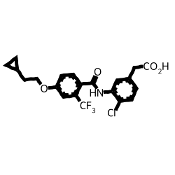 O=C(O)Cc1ccc(Cl)c(NC(=O)c2ccc(OCCC3CC3)cc2C(F)(F)F)c1